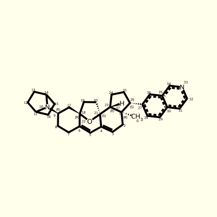 C[C@]12CC=C3C=C4CC[C@@H](N5C6CCC5CC6)C[C@]45CC[C@]3(O5)[C@@H]1CC[C@@H]2c1ccc2ccncc2c1